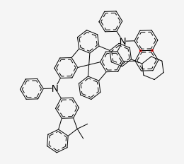 CC1(C)c2ccccc2-c2cc(N(c3ccccc3)c3ccc4c(c3)C3(c5ccccc5-c5cc(-c6ccccc6)c(N(c6ccccc6)c6ccccc6)cc53)c3c(-c5ccc(C6CCCCC6)cc5)cccc3-4)ccc21